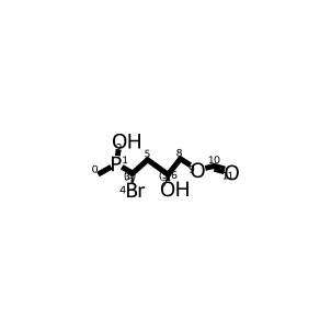 CP(O)[C@@H](Br)C[C@H](O)COC=O